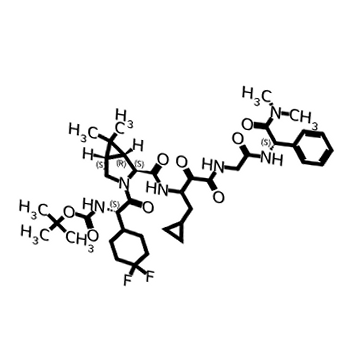 CN(C)C(=O)[C@@H](NC(=O)CNC(=O)C(=O)C(CC1CC1)NC(=O)[C@@H]1[C@@H]2[C@H](CN1C(=O)[C@@H](NC(=O)OC(C)(C)C)C1CCC(F)(F)CC1)C2(C)C)c1ccccc1